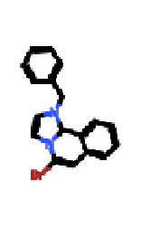 BrC1=Cc2ccccc2C2N(Cc3ccccc3)C=CN12